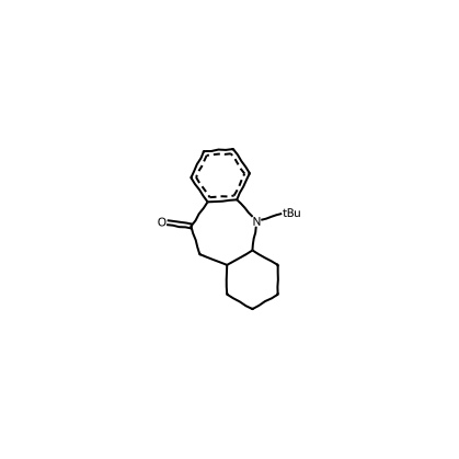 CC(C)(C)N1c2ccccc2C(=O)CC2CCCCC21